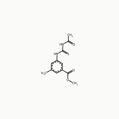 COC(=O)c1cc(C)cc(NC(=S)NC(C)=O)c1